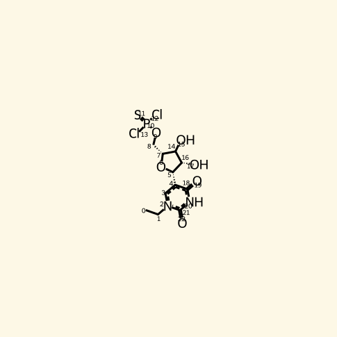 CCn1cc([C@@H]2O[C@H](COP(=S)(Cl)Cl)C(O)[C@@H]2O)c(=O)[nH]c1=O